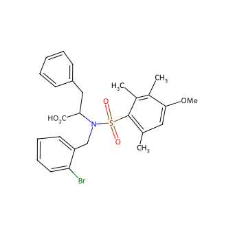 COc1cc(C)c(S(=O)(=O)N(Cc2ccccc2Br)C(Cc2ccccc2)C(=O)O)c(C)c1C